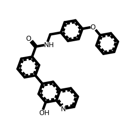 O=C(NCc1ccc(Oc2ccccc2)cc1)c1cccc(-c2cc(O)c3ncccc3c2)c1